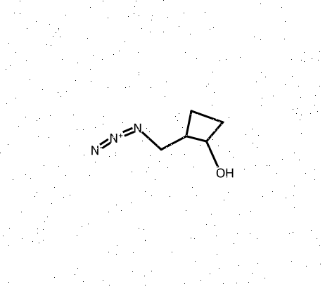 [N-]=[N+]=NCC1CCC1O